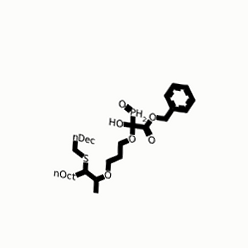 CCCCCCCCCCCSC(CCCCCCCC)C(C)OCCCOC(O)([PH2]=O)C(=O)OCc1ccccc1